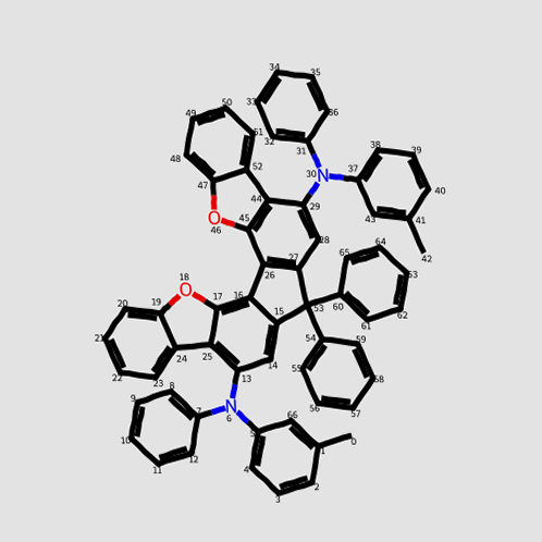 Cc1cccc(N(c2ccccc2)c2cc3c(c4oc5ccccc5c24)-c2c(cc(N(c4ccccc4)c4cccc(C)c4)c4c2oc2ccccc24)C3(c2ccccc2)c2ccccc2)c1